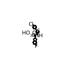 O=C(O)c1c(NC(=O)C2Cc3ccc(F)cc3C2)csc1-c1ccc(Cl)cc1